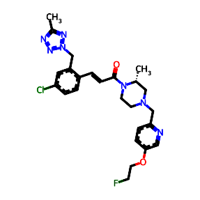 Cc1nnn(Cc2cc(Cl)ccc2C=CC(=O)N2CCN(Cc3ccc(OCCF)cn3)C[C@H]2C)n1